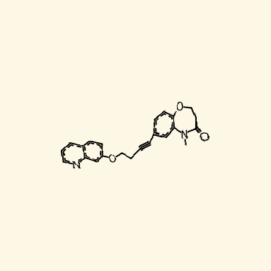 CN1C(=O)CCOc2ccc(C#CCCOc3ccc4cccnc4c3)cc21